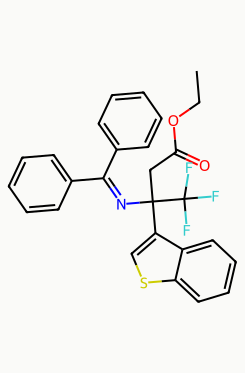 CCOC(=O)CC(N=C(c1ccccc1)c1ccccc1)(c1csc2ccccc12)C(F)(F)F